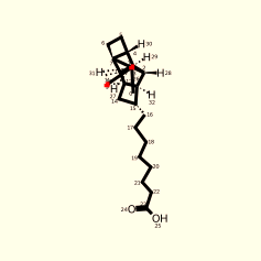 C[C@@H]1[C@@H]2[C@@H]3[C@H]4CC[C@@]4([C@@H]1C)[C@]3(C)[C@]1(C)C[C@@H](CCCCCCCC(=O)O)[C@H]21